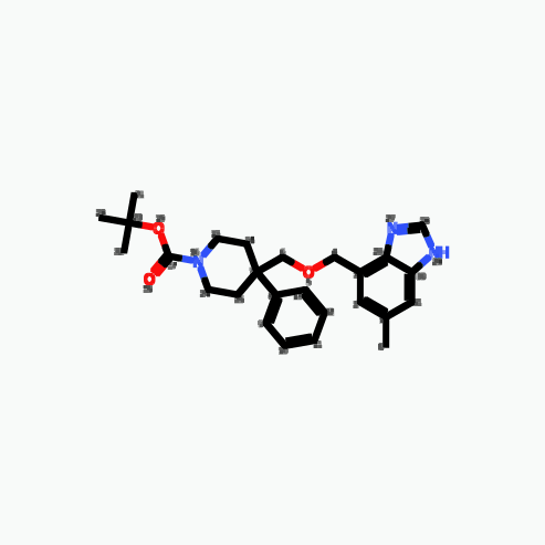 Cc1cc(COCC2(c3ccccc3)CCN(C(=O)OC(C)(C)C)CC2)c2nc[nH]c2c1